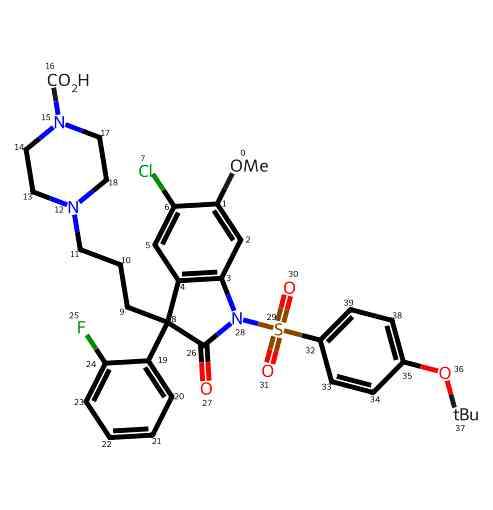 COc1cc2c(cc1Cl)C(CCCN1CCN(C(=O)O)CC1)(c1ccccc1F)C(=O)N2S(=O)(=O)c1ccc(OC(C)(C)C)cc1